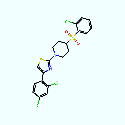 O=S(=O)(c1ccccc1Cl)C1CCN(c2nc(-c3ccc(Cl)cc3Cl)cs2)CC1